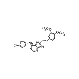 COc1ccc(/C=C/c2nc3c(Nc4ccc(Cl)cc4)ncnc3[nH]2)cc1OC